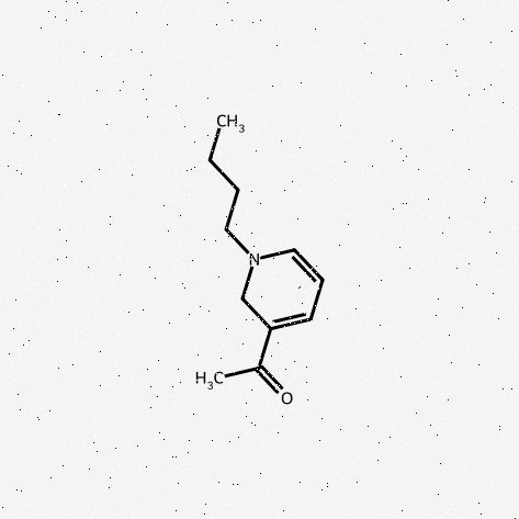 CCCCN1C=CC=C(C(C)=O)C1